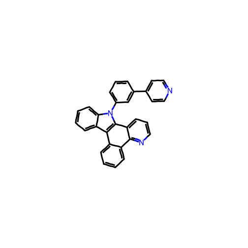 c1cc(-c2ccncc2)cc(-n2c3ccccc3c3c4ccccc4c4ncccc4c32)c1